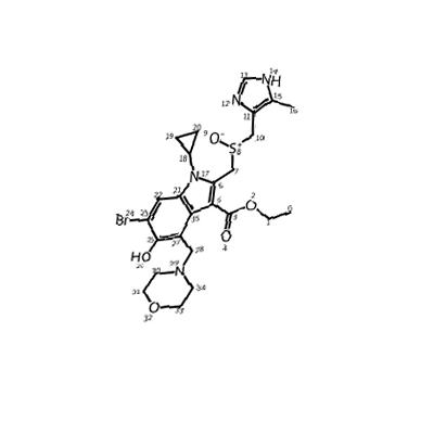 CCOC(=O)c1c(C[S+]([O-])Cc2nc[nH]c2C)n(C2CC2)c2cc(Br)c(O)c(CN3CCOCC3)c12